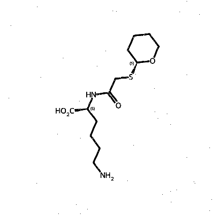 NCCCC[C@H](NC(=O)CS[C@H]1CCCCO1)C(=O)O